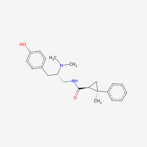 CN(C)[C@H](CNC(=O)[C@H]1C[C@@]1(C)c1ccccc1)Cc1ccc(O)cc1